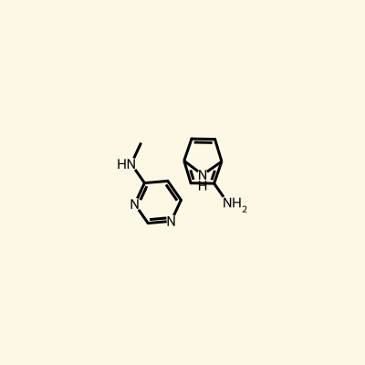 CNc1ccncn1.Nc1cc2ccc1[nH]2